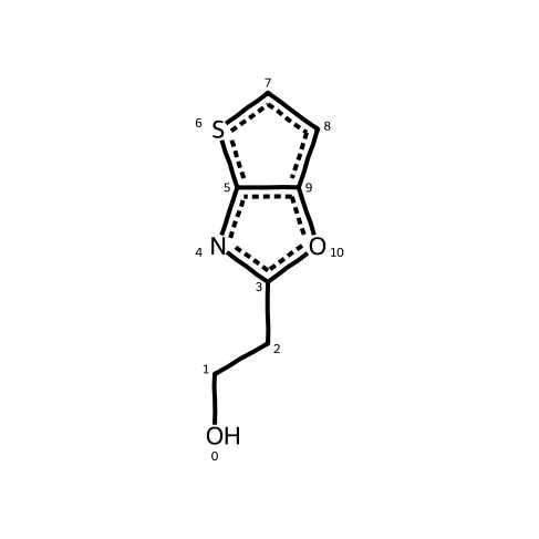 OCCc1nc2sccc2o1